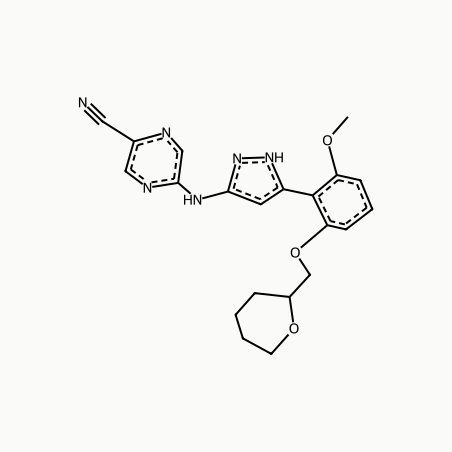 COc1cccc(OCC2CCCCO2)c1-c1cc(Nc2cnc(C#N)cn2)n[nH]1